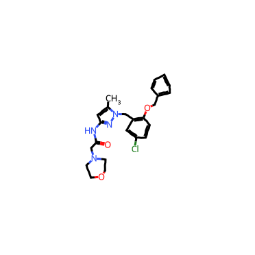 Cc1cc(NC(=O)CN2CCOCC2)nn1Cc1cc(Cl)ccc1OCc1ccccc1